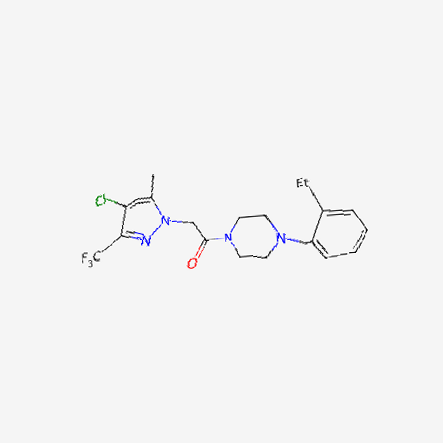 CCc1ccccc1N1CCN(C(=O)Cn2nc(C(F)(F)F)c(Cl)c2C)CC1